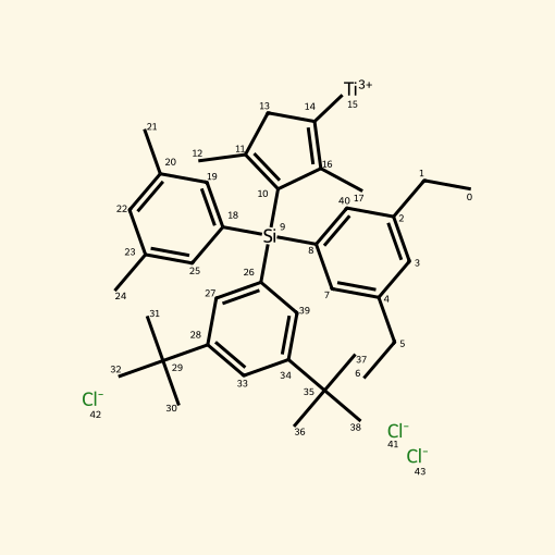 CCc1cc(CC)cc([Si](C2=C(C)C[C]([Ti+3])=C2C)(c2cc(C)cc(C)c2)c2cc(C(C)(C)C)cc(C(C)(C)C)c2)c1.[Cl-].[Cl-].[Cl-]